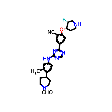 Cc1cc(Nc2ncnc(-c3ccc(O[C@H]4CCNC[C@H]4F)c(C#N)c3)n2)ccc1C1CCN(C=O)CC1